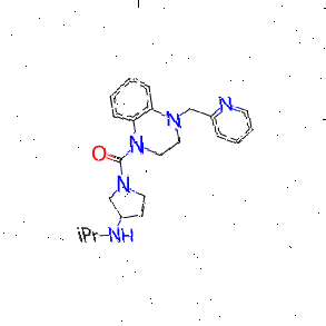 CC(C)NC1CCN(C(=O)N2CCN(Cc3ccccn3)c3ccccc32)C1